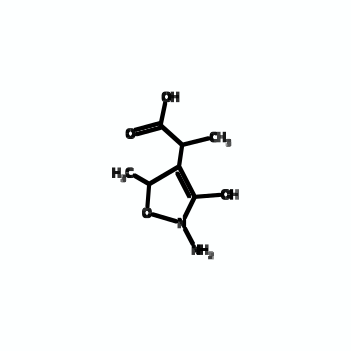 CC1ON(N)C(O)=C1C(C)C(=O)O